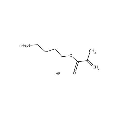 C=C(C)C(=O)OCCCCCCCCCCC.F